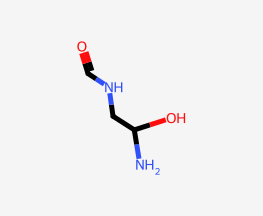 NC(O)CNC=O